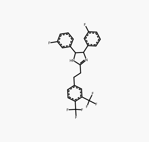 Fc1cccc(C2N=C(CCc3ccc(C(F)(F)F)c(C(F)(F)F)c3)NC2c2cccc(F)c2)c1